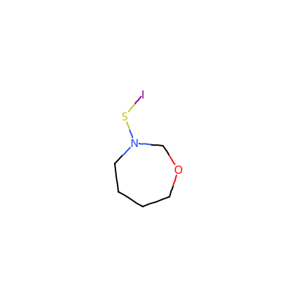 ISN1CCCCOC1